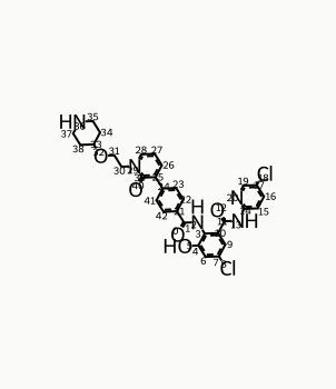 O=C(Nc1c(O)cc(Cl)cc1C(=O)Nc1ccc(Cl)cn1)c1ccc(-c2cccn(CCOC3CCNCC3)c2=O)cc1